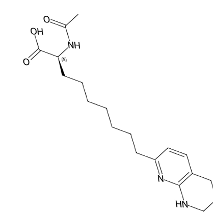 CC(=O)N[C@@H](CCCCCCCc1ccc2c(n1)NCCC2)C(=O)O